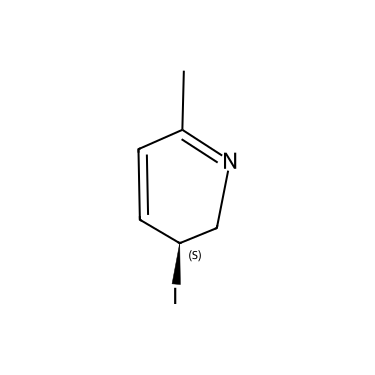 CC1=NC[C@@H](I)C=C1